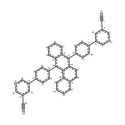 N#Cc1cncc(-c2ccc(-c3c4ccccc4c(-c4ccc(-c5cncc(C#N)c5)cc4)c4c3ccc3ccccc34)cc2)c1